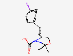 CC1(C)OC[C@H](/C=C/c2ccc(I)cc2)N1C(=O)O